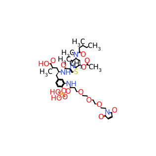 CC[C@H](C)CC(=O)N(C)C(C[C@@H](OC(C)=O)c1nc(C(=O)N[C@@H](Cc2ccc(OP(=O)(O)O)c(NC(=O)CCOCCOCCOCCN3C(=O)C=CC3=O)c2)CC(C)C(=O)O)cs1)C(C)C